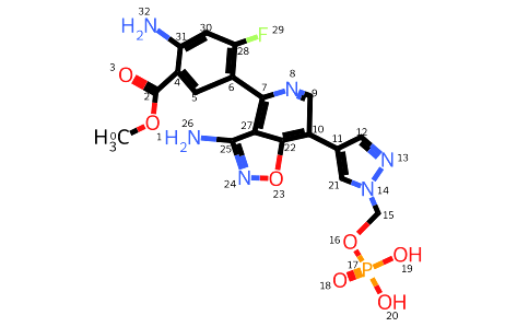 COC(=O)c1cc(-c2ncc(-c3cnn(COP(=O)(O)O)c3)c3onc(N)c23)c(F)cc1N